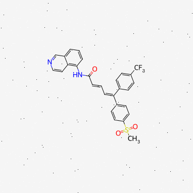 CS(=O)(=O)c1ccc(C(=CC=CC(=O)Nc2cccc3cnccc23)c2ccc(C(F)(F)F)cc2)cc1